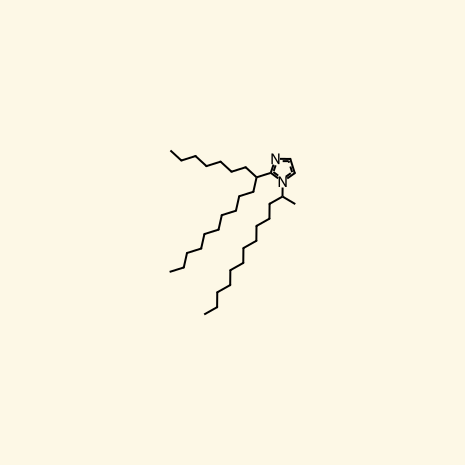 CCCCCCCCCCCC(C)n1ccnc1C(CCCCCCC)CCCCCCCCCC